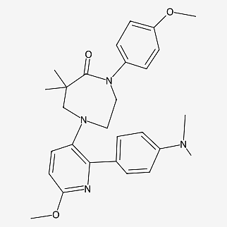 COc1ccc(N2CCN(c3ccc(OC)nc3-c3ccc(N(C)C)cc3)CC(C)(C)C2=O)cc1